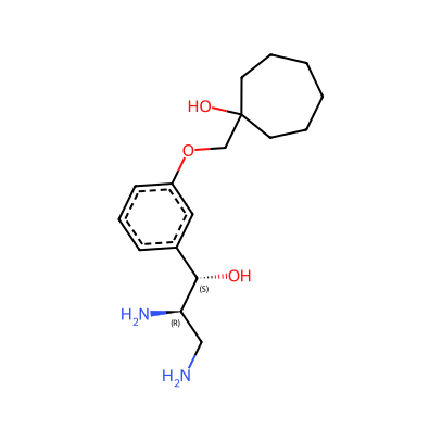 NC[C@@H](N)[C@@H](O)c1cccc(OCC2(O)CCCCCC2)c1